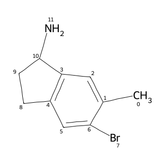 Cc1cc2c(cc1Br)CCC2N